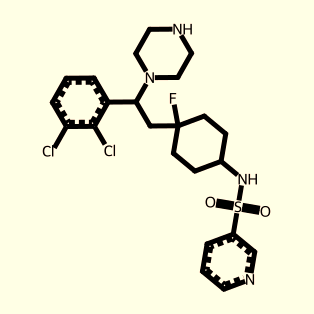 O=S(=O)(NC1CCC(F)(CC(c2cccc(Cl)c2Cl)N2CCNCC2)CC1)c1cccnc1